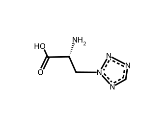 N[C@H](Cn1ncnn1)C(=O)O